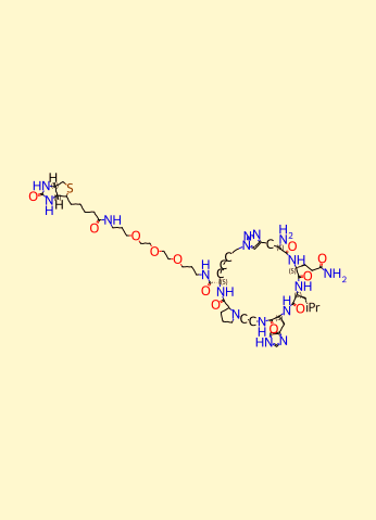 CC(C)C[C@@H]1NC(=O)[C@H](CCC(N)=O)NC(=O)[C@@H](N)Cc2cn(nn2)CCCC[C@@H](C(=O)NCCCOCCOCCOCCCNC(=O)CCCCC2SC[C@H]3NC(=O)N[C@@H]23)NC(=O)C2CCCN2CCNC(=O)[C@H](Cc2c[nH]cn2)NC1=O